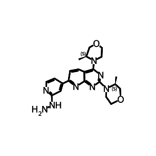 C[C@H]1COCCN1c1nc(N2CCOC[C@@H]2C)c2ccc(-c3ccnc(NN)c3)nc2n1